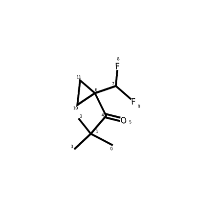 CC(C)(C)C(=O)C1(C(F)F)CC1